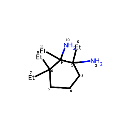 CCC1(N)CCCC(CC)(CC)C1(N)CC